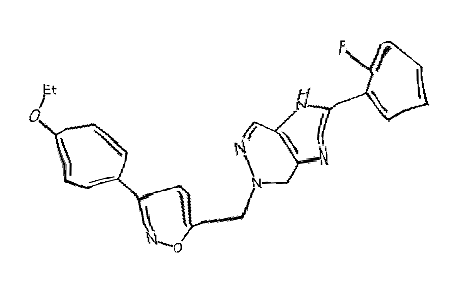 CCOc1ccc(-c2cc(CN3Cc4nc(-c5ccccc5F)[nH]c4C=N3)on2)cc1